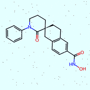 O=C(NO)c1ccc2c(c1)CC[C@@]1(CCCN(c3ccccc3)C1=O)C2